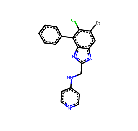 CCc1cc2[nH]c(CNc3ccncc3)nc2c(-c2ccccc2)c1Cl